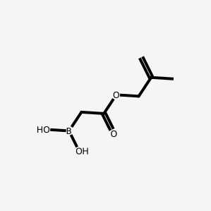 C=C(C)COC(=O)CB(O)O